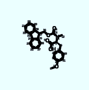 COc1ccc(C[C@@H](C(=O)O)N(C)C(=O)OCC2c3ccccc3-c3ccccc32)cc1